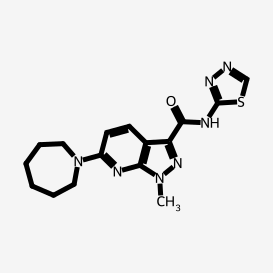 Cn1nc(C(=O)Nc2nncs2)c2ccc(N3CCCCCC3)nc21